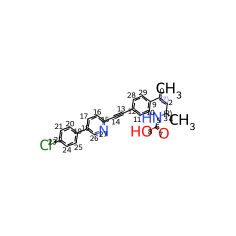 C/C(=C/[C@@H](C)NC(=O)O)c1ccc(C#Cc2ccc(-c3ccc(Cl)cc3)cn2)cc1